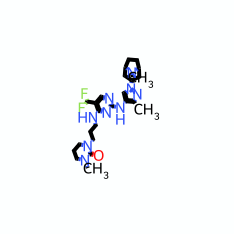 Cc1nn(C2CC3CCC(C2)N3C)cc1Nc1ncc(C(F)F)c(NCCCN2CCCN(C)C2=O)n1